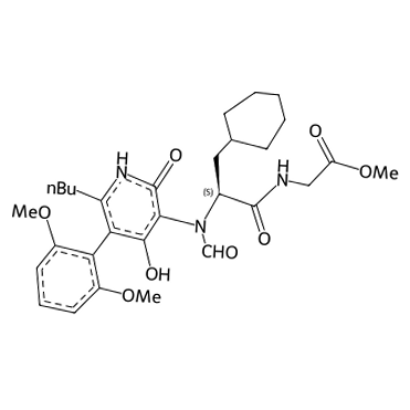 CCCCc1[nH]c(=O)c(N(C=O)[C@@H](CC2CCCCC2)C(=O)NCC(=O)OC)c(O)c1-c1c(OC)cccc1OC